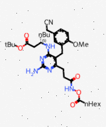 CCCCCCC(=O)ONC(=O)CCc1nc(N)nc(N[C@@H](CCCC)CC(=O)OC(C)(C)C)c1Cc1cc(CC#N)ccc1OC